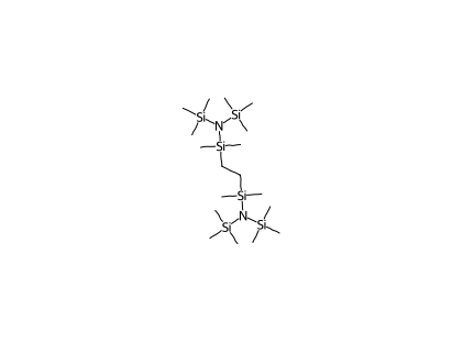 C[Si](C)(C)N([Si](C)(C)C)[Si](C)(C)CC[Si](C)(C)N([Si](C)(C)C)[Si](C)(C)C